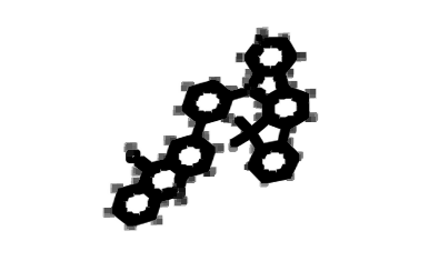 CC1(C)c2ccccc2-c2ccc3c4ccncc4n(-c4cccc(-c5ccc6oc7ccccc7c(=O)c6c5)c4)c3c21